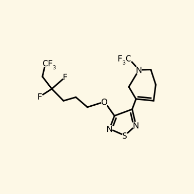 FC(F)(F)CC(F)(F)CCCOc1nsnc1C1=CCCN(C(F)(F)F)C1